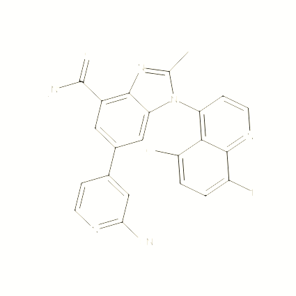 Cc1nc2c(C(N)=O)cc(-c3ccnc(C#N)c3)cc2n1-c1ccnc2c(F)ccc(Cl)c12